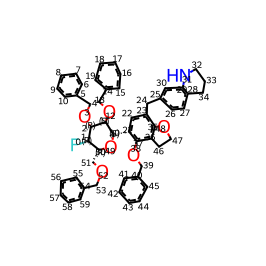 F[C@H]1[C@H](OCc2ccccc2)[C@@H](OCc2ccccc2)[C@H](c2cc(Cc3ccc4c(c3)NCCC4)c3c(c2OCc2ccccc2)CCO3)O[C@@H]1COCc1ccccc1